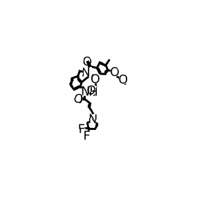 COCOc1cc(OCOC)c(C(=O)N2Cc3cccc(NC(=O)/C=C/CN4CCC(F)(F)C4)c3C2)cc1C